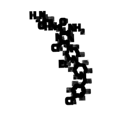 CC[C@H]1CN(c2nc(N)c(C(=O)NCC(N)=O)nc2Cl)CCN1C1CCN(Cc2ccc(Cl)cc2)CC1